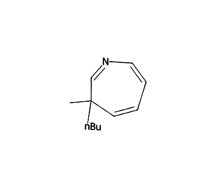 CCCCC1(C)C=CC=CN=C1